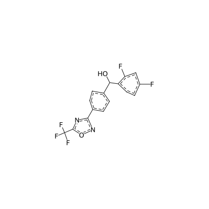 OC(c1ccc(-c2noc(C(F)(F)F)n2)cc1)c1ccc(F)cc1F